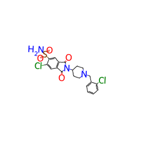 NS(=O)(=O)c1cc2c(cc1Cl)C(=O)N(C1CCN(Cc3ccccc3Cl)CC1)C2=O